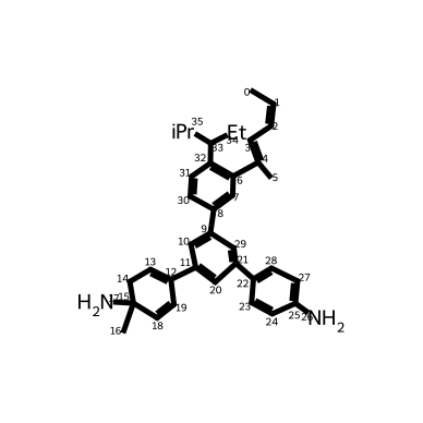 C/C=C\C=C(/C)c1cc(-c2cc(C3=CCC(C)(N)C=C3)cc(-c3ccc(N)cc3)c2)ccc1C(CC)C(C)C